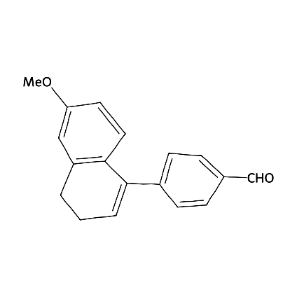 COc1ccc2c(c1)CCC=C2c1ccc(C=O)cc1